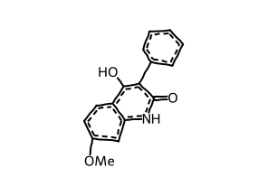 COc1ccc2c(O)c(-c3ccccc3)c(=O)[nH]c2c1